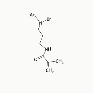 C=C(C)C(=O)NCCCN(Br)C(C)=O